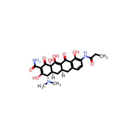 CCC(=O)Nc1ccc2c(c1O)C(=O)C1=C(O)[C@]3(O)C(=O)C(C(N)=O)=C(O)[C@@H](N(C)C)[C@@H]3C[C@@H]1C2